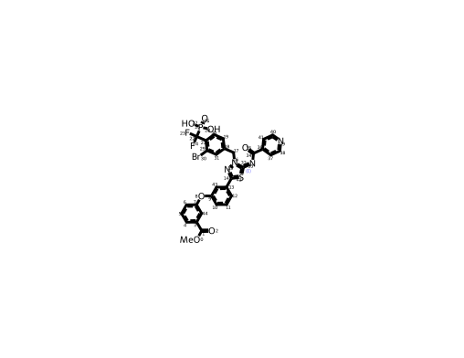 COC(=O)c1cccc(Oc2cccc(-c3nn(Cc4ccc(C(F)(F)P(=O)(O)O)c(Br)c4)/c(=N\C(=O)c4ccncc4)s3)c2)c1